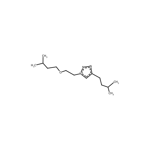 CC(C)CCOCCn1cc(CCC(C)C)nn1